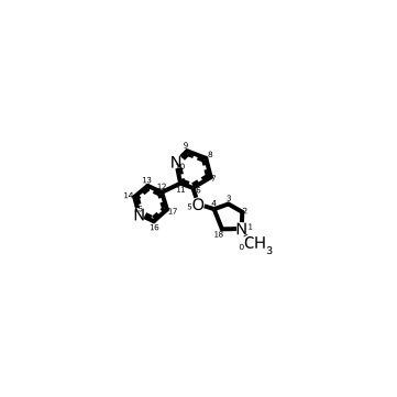 CN1CCC(Oc2cccnc2-c2ccncc2)C1